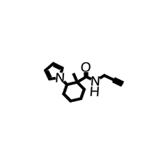 C#CCNC(=O)C1(C)CCCCC1n1cccc1